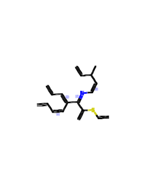 C=C\C=C/C(=C\C=C)C(=N/C=C\C(C)C=C)/C(=C)SC=C